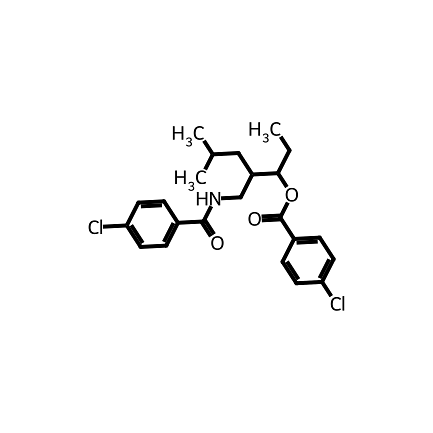 CCC(OC(=O)c1ccc(Cl)cc1)C(CNC(=O)c1ccc(Cl)cc1)CC(C)C